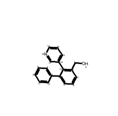 OCc1cccc(-c2ccccc2)c1-c1cccnc1